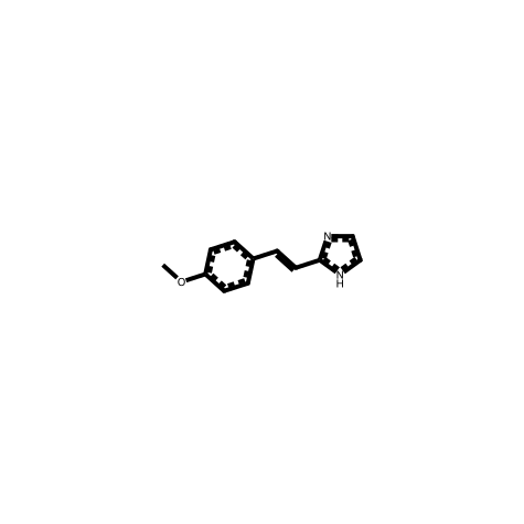 COc1ccc(/C=C/c2ncc[nH]2)cc1